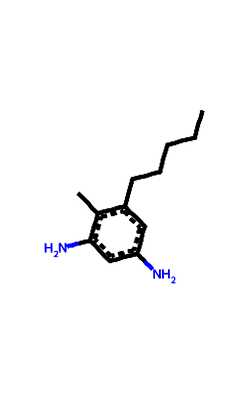 CCCCCc1cc(N)cc(N)c1C